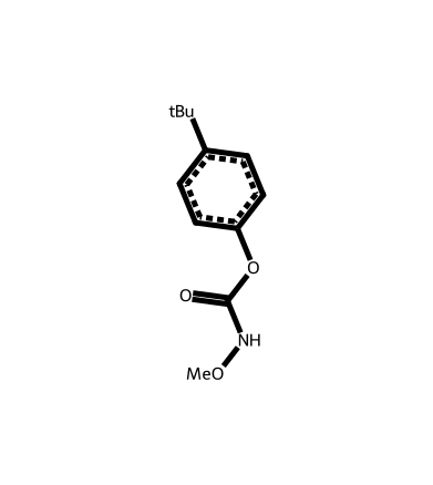 CONC(=O)Oc1ccc(C(C)(C)C)cc1